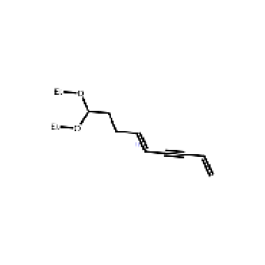 C=CC#C/C=C/CCC(OCC)OCC